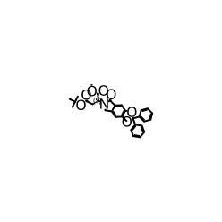 COC(=O)[C@H](CC(=O)OC(C)(C)C)N1Cc2cc3c(cc2C1=O)OC(c1ccccc1)(c1ccccc1)O3